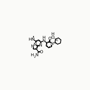 CNc1cc(Nc2cccn([C@H]3CCCC[C@H]3O)c2=O)nc2c(C(N)=O)cnn12